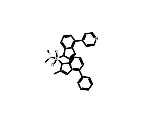 CC1=Cc2c(-c3ccccc3)cccc2[CH]1[Zr]([Cl])([Cl])([CH]1C(C)=Cc2c(-c3ccncc3)cccc21)[SiH](C)C